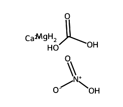 O=C(O)O.O=[N+]([O-])O.[Ca+2].[MgH2]